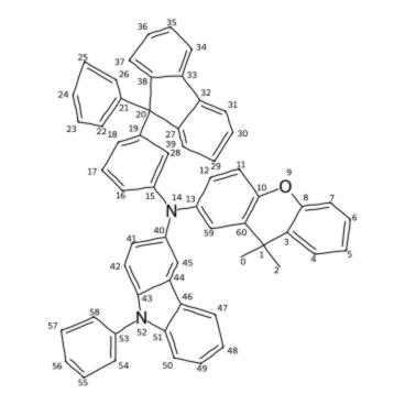 CC1(C)c2ccccc2Oc2ccc(N(c3cccc(C4(c5ccccc5)c5ccccc5-c5ccccc54)c3)c3ccc4c(c3)c3ccccc3n4-c3ccccc3)cc21